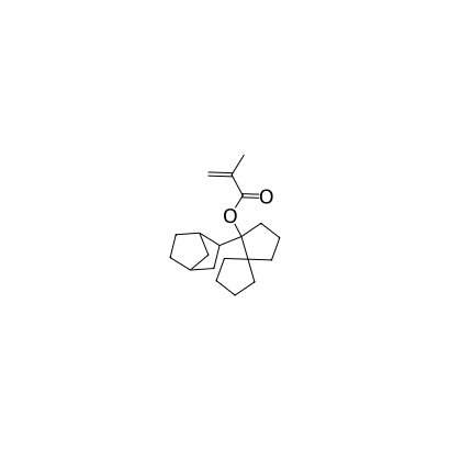 C=C(C)C(=O)OC1(C2CC3CCC2C3)CCCC12CCCC2